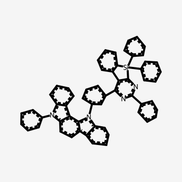 c1ccc(-c2nc(-c3cccc(-n4c5ccccc5c5ccc6c(c7ccccc7n6-c6ccccc6)c54)c3)c3c(n2)[Si](c2ccccc2)(c2ccccc2)c2ccccc2-3)cc1